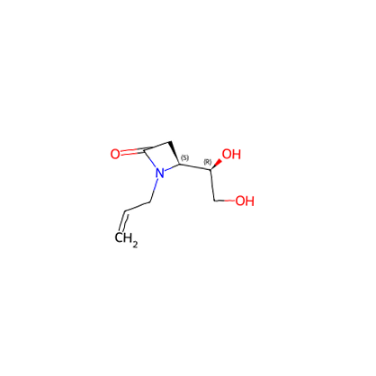 C=CCN1C(=O)C[C@H]1[C@@H](O)CO